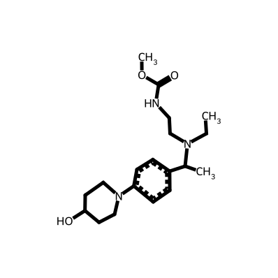 CCN(CCNC(=O)OC)C(C)c1ccc(N2CCC(O)CC2)cc1